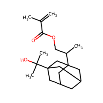 C=C(C)C(=O)OCC(C)C12CC3CC(C1)CC(C(C)(C)O)(C3)C2